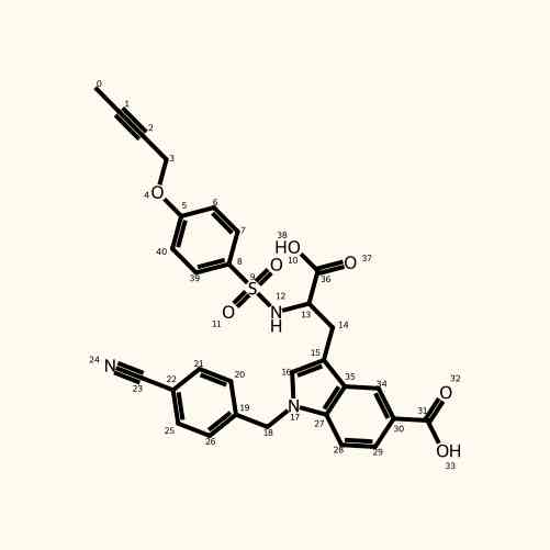 CC#CCOc1ccc(S(=O)(=O)NC(Cc2cn(Cc3ccc(C#N)cc3)c3ccc(C(=O)O)cc23)C(=O)O)cc1